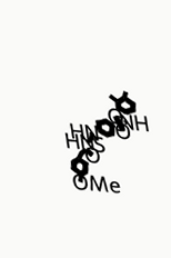 COc1ccc(CC(=O)NC(=S)Nc2ccc(S(=O)(=O)Nc3ccc(C)c(C)c3)cc2)cc1